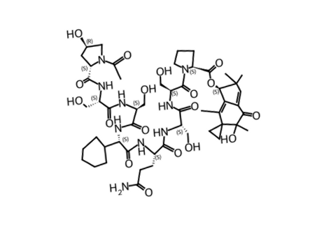 CC(=O)N1C[C@H](O)C[C@H]1C(=O)N[C@@H](CO)C(=O)N[C@@H](CO)C(=O)N[C@H](C(=O)N[C@@H](CCC(N)=O)C(=O)N[C@@H](CO)C(=O)N[C@@H](CO)C(=O)N1CCC[C@H]1C(=O)O[C@@H]1C2=C(C)C3(CC3)C(C)(O)C(=O)C2=CC1(C)C)C1CCCCC1